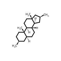 C[C@H]1CC[C@@]2(C)[C@@H](CC[C@H]3[C@@H]4C[C@H](C)C[C@@]4(C)CC[C@@H]32)C1